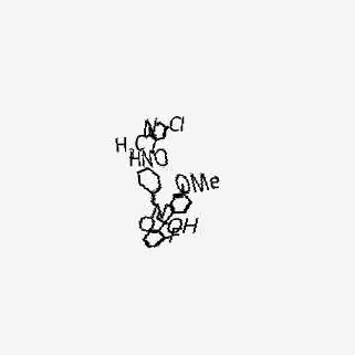 COc1ccc2c(c1)N(CC1CCC(NC(=O)c3cc(Cl)cnc3C)CC1)C(=O)C2(O)c1ccccc1F